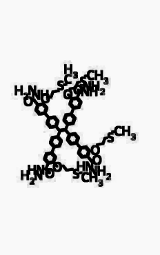 CCSCCCOc1cc(-c2ccc(C(=C(c3ccc(-c4ccc(C(=O)NN)c(OCCCSCC)c4)cc3)c3ccc(-c4ccc(C(=O)NN)c(OCCCSCC)c4)cc3)c3ccc(-c4ccc(C(=O)NN)c(OCCCSCC)c4)cc3)cc2)ccc1C(=O)NN